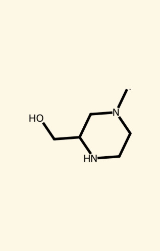 [CH2]N1CCNC(CO)C1